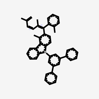 C=C(C)/C=C\C(C)=C(\c1ccccc1C)c1ccc2c(c1C)c1ccccc1n2-c1cc(-c2ccccc2)cc(-c2ccccc2)c1